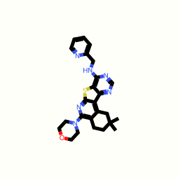 CC1(C)CCc2c(N3CCOCC3)nc3sc4c(NCc5ccccn5)ncnc4c3c2C1